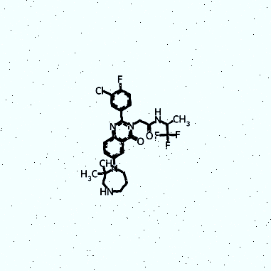 C[C@H](NC(=O)Cn1c(-c2ccc(F)c(Cl)c2)nc2ccc(N3CCCNCC3(C)C)cc2c1=O)C(F)(F)F